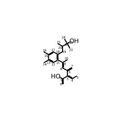 C=C(O)/C(=C/C)C(=C)/C=C(\C)c1cc(C)c(C)cc1CC(C)C(C)(C)O